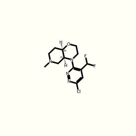 CN1CC[C@H]2OCCN(c3nnc(Cl)cc3C(F)F)[C@H]2C1